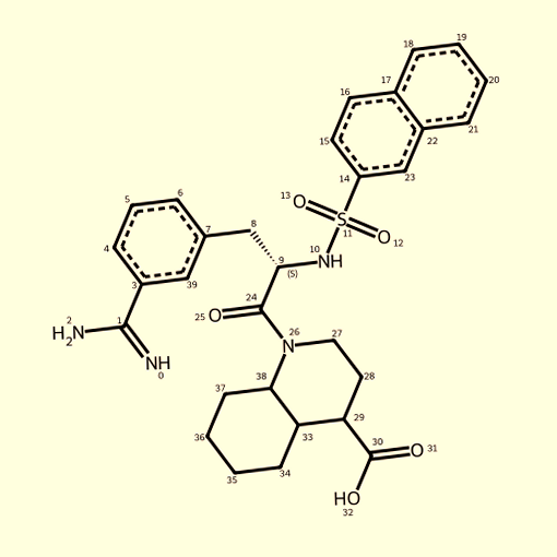 N=C(N)c1cccc(C[C@H](NS(=O)(=O)c2ccc3ccccc3c2)C(=O)N2CCC(C(=O)O)C3CCCCC32)c1